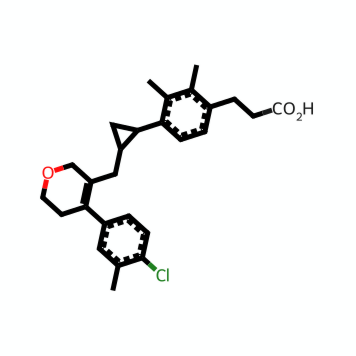 Cc1cc(C2=C(CC3CC3c3ccc(CCC(=O)O)c(C)c3C)COCC2)ccc1Cl